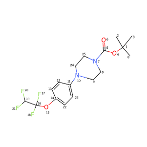 CC(C)(C)OC(=O)N1CCN(c2ccc(OC(F)(F)C(F)F)cc2)CC1